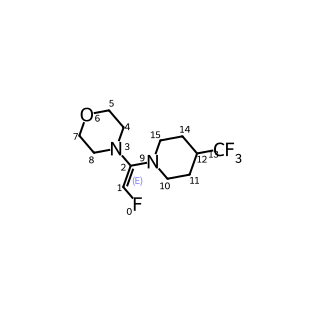 F/C=C(/N1CCOCC1)N1CCC(C(F)(F)F)CC1